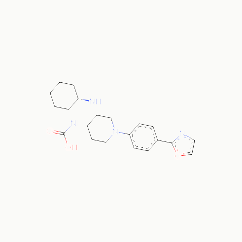 O=C(O)N[C@@H]1CCCC[C@H]1N[C@H]1CCCN(c2ccc(-c3ncco3)cc2)C1